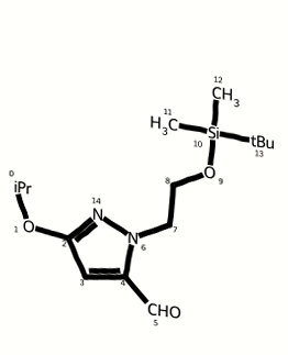 CC(C)Oc1cc(C=O)n(CCO[Si](C)(C)C(C)(C)C)n1